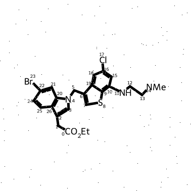 CCOC(=O)Cc1cn(Cc2csc3c(NCCNC)cc(Cl)cc23)c2cc(Br)ccc12